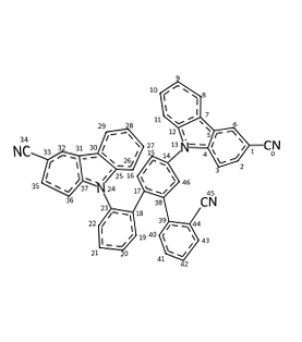 N#Cc1ccc2c(c1)c1ccccc1n2-c1ccc(-c2ccccc2-n2c3ccccc3c3cc(C#N)ccc32)c(-c2ccccc2C#N)c1